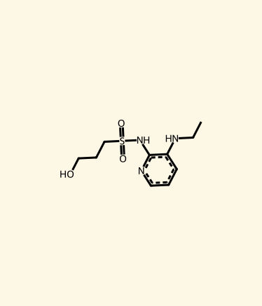 CCNc1cccnc1NS(=O)(=O)CCCO